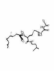 CCCC[C@H](C)CCC(=O)N[C@@H](CCCNC(=N)N[N+](=O)[O-])C(=O)NCCC(C)C